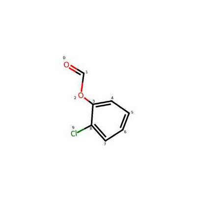 O=COc1ccccc1Cl